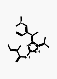 C=CC(=C\N(C)C)/C(C)=c1\nc(NC(=C)/C(C)=C/C)[nH]c1=C(C)C